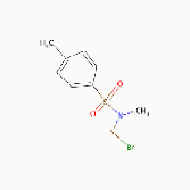 Cc1ccc(S(=O)(=O)N(C)SBr)cc1